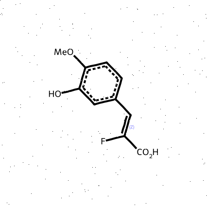 COc1ccc(/C=C(\F)C(=O)O)cc1O